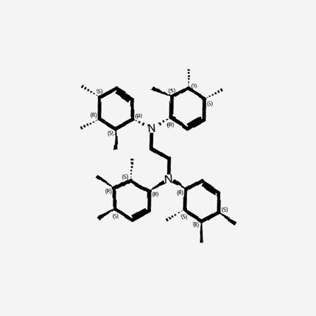 C[C@H]1[C@H](C)[C@@H](N(CCN([C@H]2C=C[C@@H](C)[C@@H](C)[C@@H]2C)[C@H]2C=C[C@@H](C)[C@@H](C)[C@@H]2C)[C@H]2C=C[C@@H](C)[C@@H](C)[C@@H]2C)C=C[C@H]1C